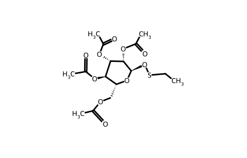 CCSO[C@H]1O[C@H](COC(C)=O)[C@@H](OC(C)=O)[C@H](OC(C)=O)[C@@H]1OC(C)=O